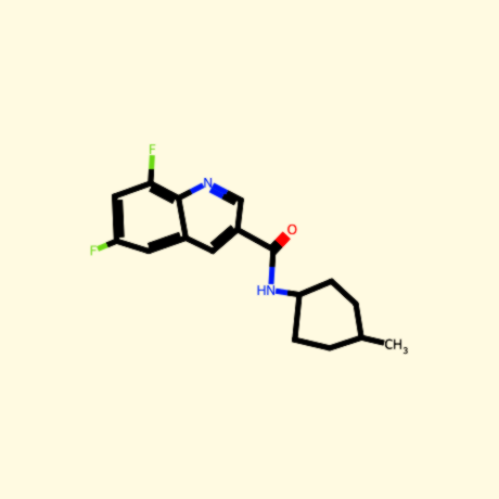 CC1CCC(NC(=O)c2cnc3c(F)cc(F)cc3c2)CC1